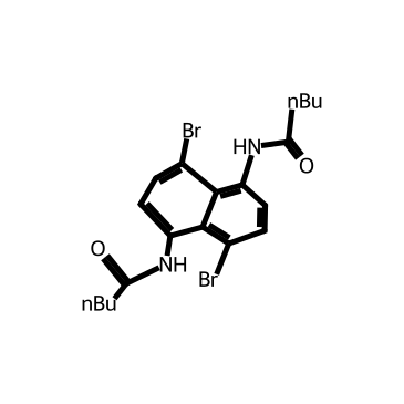 CCCCC(=O)Nc1ccc(Br)c2c(NC(=O)CCCC)ccc(Br)c12